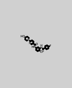 O=C(Nc1ccc(Cl)c(NC(=O)c2ccc(F)cc2)c1)c1ccc(N2CCC(O)CC2)nc1